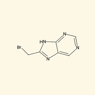 BrCc1nc2cncnc2[nH]1